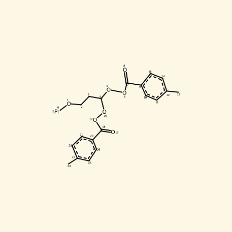 [CH2]CCOCC[C](OOC(=O)c1ccc(C)cc1)OOC(=O)c1ccc(C)cc1